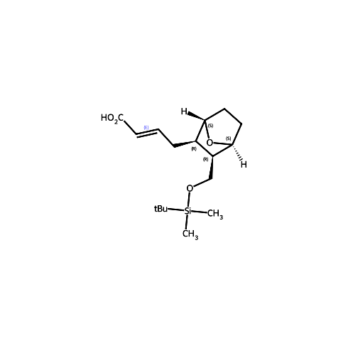 CC(C)(C)[Si](C)(C)OC[C@H]1[C@@H](C/C=C/C(=O)O)[C@@H]2CC[C@@H]1O2